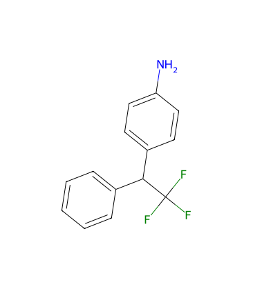 Nc1ccc(C(c2ccccc2)C(F)(F)F)cc1